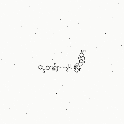 CC1=C2C[C@H]3[C@@H](CC=C4C[C@@H](O)CC[C@@]43C)[C@@H]2CCC12O[C@@H]1C[C@H](C)CN(CCNC(=O)CCCCCNC(=O)[C@@H](N)Cc3ccc(C(=O)c4ccccc4)cc3)[C@H]1[C@H]2C